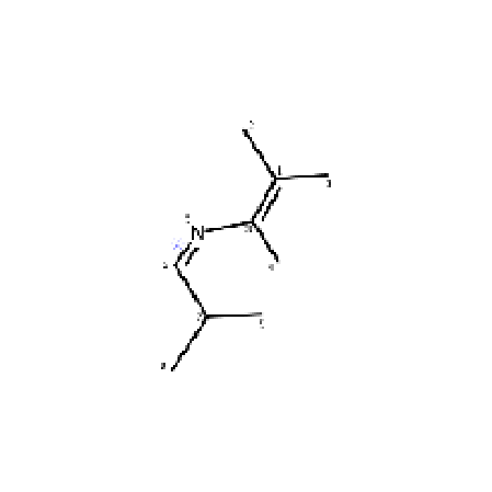 CC(C)=C(C)/N=C\C(C)C